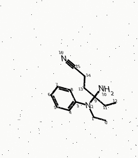 CCN(c1ccccc1)C(N)(CC)CCC#N